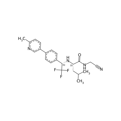 Cc1ccc(-c2ccc([C@H](N[C@@H](CC(C)C)C(=O)NCC#N)C(F)(F)F)cc2)cn1